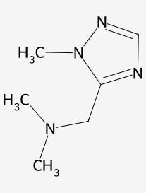 CN(C)Cc1ncnn1C